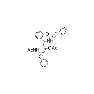 CC(=O)N[C@H](Cc1ccccc1)C[C@@H](CC(NC(=O)OCc1cncs1)c1ccccc1)OC(C)=O